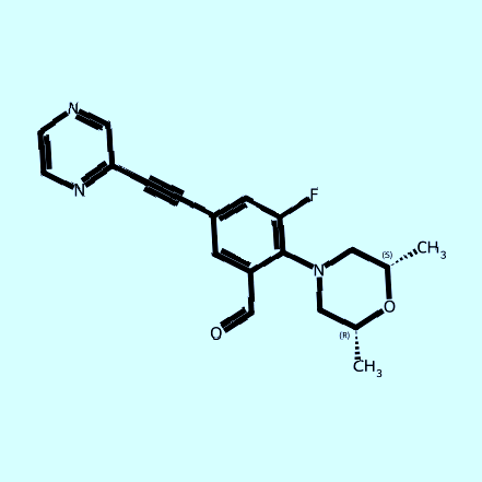 C[C@@H]1CN(c2c(F)cc(C#Cc3cnccn3)cc2C=O)C[C@H](C)O1